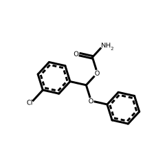 NC(=O)OC(Oc1ccccc1)c1cccc(Cl)c1